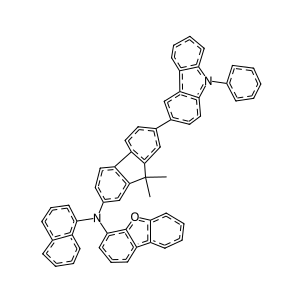 CC1(C)c2cc(-c3ccc4c(c3)c3ccccc3n4-c3ccccc3)ccc2-c2ccc(N(c3cccc4ccccc34)c3cccc4c3oc3ccccc34)cc21